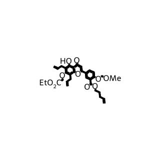 C=CCCCOC(=O)c1cc(-c2cc(=O)c3c(O)c(CC=C)c(OCC(=O)OCC)c(CC=C)c3o2)ccc1OCOC